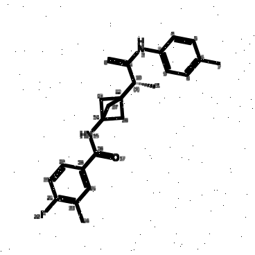 C=C(Nc1ccc(C)cc1)[C@H](C)C12CC(NC(=O)c3ccc(F)c(C)c3)(C1)C2